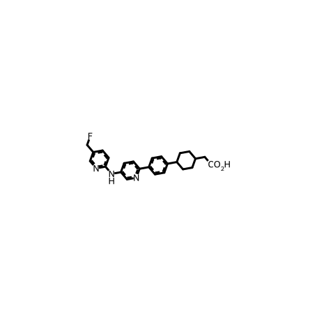 O=C(O)CC1CCC(c2ccc(-c3ccc(Nc4ccc(CF)cn4)cn3)cc2)CC1